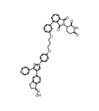 O=C1CCC(N2C(=O)c3cccc(-c4cccc(OCCCOc5ccc(-n6cc(-c7ccc8c(c7)CC/C8=N\O)c(-c7ccncc7)n6)cc5)c4)c3C2=O)C(=O)N1